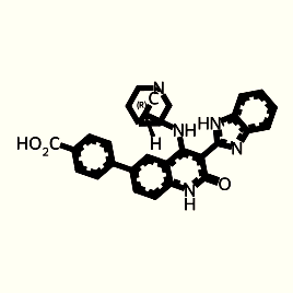 O=C(O)c1ccc(-c2ccc3[nH]c(=O)c(-c4nc5ccccc5[nH]4)c(N[C@H]4CN5CCC4CC5)c3c2)cc1